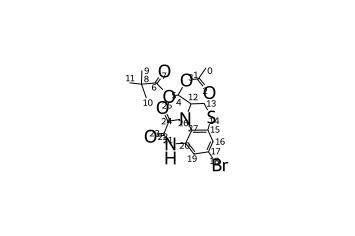 CC(=O)OC(OC(=O)C(C)(C)C)C1CSc2cc(Br)cc3[nH]c(=O)c(=O)n1c23